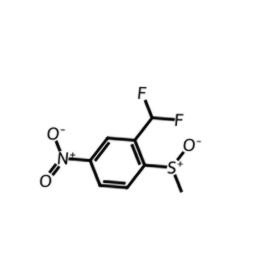 C[S+]([O-])c1ccc([N+](=O)[O-])cc1C(F)F